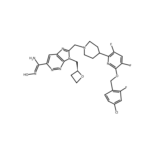 NC(=NO)c1cc2nc(CN3CCC(c4nc(OCc5ccc(Cl)cc5F)c(F)cc4F)CC3)n(C[C@@H]3CCO3)c2nn1